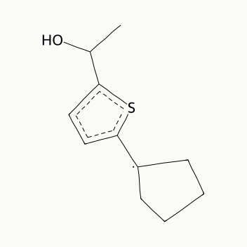 CC(O)c1ccc([C]2CCCC2)s1